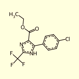 CCOC(=O)c1nc(C(F)(F)F)[nH]c1-c1ccc(Cl)cc1